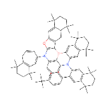 Cc1cc2c3c(c1)N(c1cc4c(cc1-c1ccc(C(C)(C)C)cc1)C(C)(C)CCC4(C)C)c1cc4c(cc1B3c1c(oc3c1CC1C(=C3)C(C)(C)CCC1(C)C)N2C1=CC2=C(CC=C1)C(C)(C)CCC2(C)C)C(C)(C)CCC4(C)C